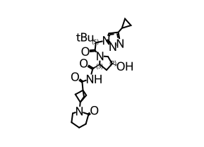 CC(C)(C)[C@@H](C(=O)N1C[C@H](O)C[C@H]1C(=O)NC(=O)C12CC(N3CCCCC3=O)(C1)C2)n1cc(C2CC2)nn1